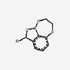 CCC1OB2OCCOc3cccc1c32